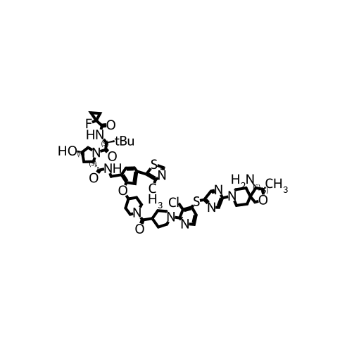 Cc1ncsc1-c1ccc(CNC(=O)[C@@H]2C[C@@H](O)CN2C(=O)[C@@H](NC(=O)C2(F)CC2)C(C)(C)C)c(OC2CCN(C(=O)C3CCN(c4nccc(Sc5cnc(N6CCC7(CC6)CO[C@@H](C)[C@H]7N)cn5)c4Cl)CC3)CC2)c1